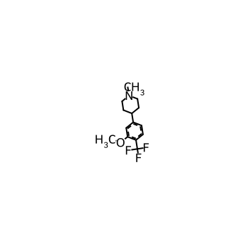 COc1cc(C2CCN(C)CC2)ccc1C(F)(F)F